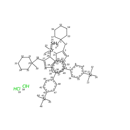 CC1(CC2=Cc3c(-c4ccc([Si](C)(C)C)cc4)cccc3[CH]2[Zr]([CH3])([CH3])(=[SiH2])[CH]2C(CC3(C)CCCCC3)=Cc3c(-c4ccc([Si](C)(C)C)cc4)cccc32)CCCCC1.Cl.Cl